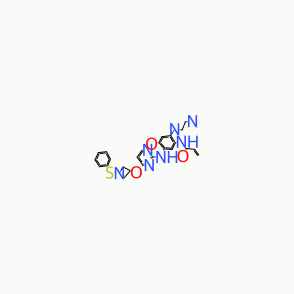 C=CC(=O)Nc1cc(Nc2nccc(OC3CN(Sc4ccccc4)C3)n2)c(OC)cc1N(C)CCN(C)C